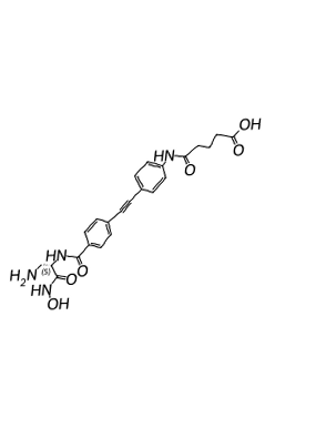 NC[C@H](NC(=O)c1ccc(C#Cc2ccc(NC(=O)CCCC(=O)O)cc2)cc1)C(=O)NO